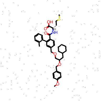 COc1ccc(COC(COCc2ccc(C(=O)N[C@@H](CCSC)C(=O)O)c(-c3ccccc3C)c2)CC2CCCCC2)cc1